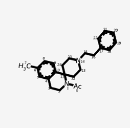 CC(=O)N1CCc2cc(C)ccc2C12CCN(CCc1ccccc1)CC2